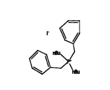 CCCC[P+](CCCC)(Cc1ccccc1)Cc1ccccc1.[I-]